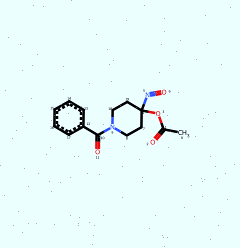 CC(=O)OC1(N=O)CCN(C(=O)c2ccccc2)CC1